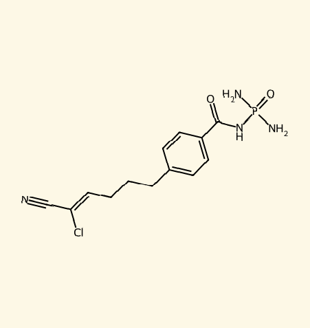 N#CC(Cl)=CCCCc1ccc(C(=O)NP(N)(N)=O)cc1